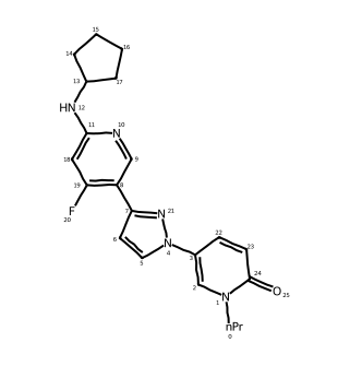 CCCn1cc(-n2ccc(-c3cnc(NC4CCCC4)cc3F)n2)ccc1=O